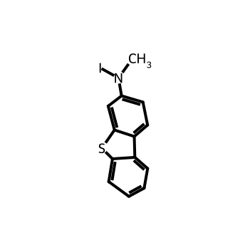 CN(I)c1ccc2c(c1)sc1ccccc12